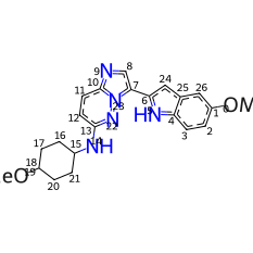 COc1ccc2[nH]c(-c3cnc4ccc(NC5CCC(OC)CC5)nn34)cc2c1